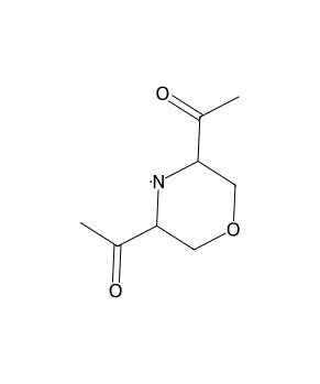 CC(=O)C1COCC(C(C)=O)[N]1